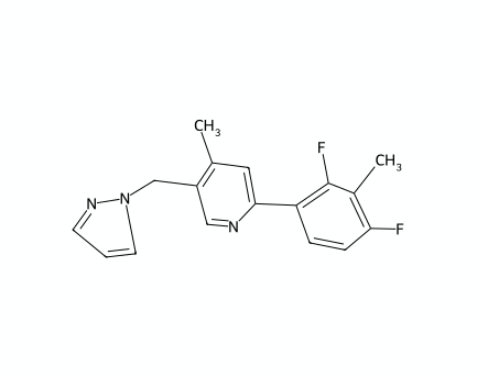 Cc1cc(-c2ccc(F)c(C)c2F)ncc1Cn1cccn1